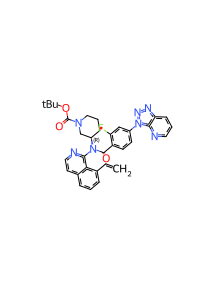 C=Cc1cccc2ccnc(N(C(=O)c3ccc(-n4nnc5cccnc54)cc3F)[C@@H]3CCCN(C(=O)OC(C)(C)C)C3)c12